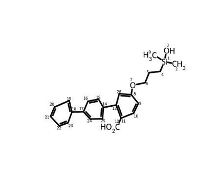 C[Si](C)(O)CCCOc1ccc(C(=O)O)c(-c2ccc(-c3ccccc3)cc2)c1